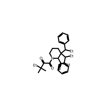 CCC(c1ccccc1)C1(C(CC)c2ccccc2)CCCN(C(=O)C(=O)C(C)(C)CC)C1C(=O)S